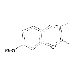 COc1ccc2cc(C)c(C)[o+]c2c1